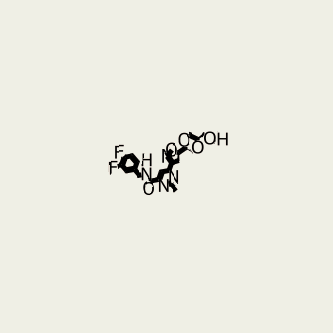 Cc1nc(C(=O)NCc2ccc(F)c(F)c2)cc(C2=NO[C@@H]([C@H]3CO[C@H](CO)CO3)C2)n1